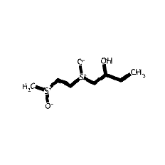 CCC(O)C[S+]([O-])CC[S+](C)[O-]